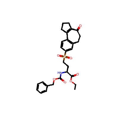 CCOC(=O)C(CCS(=O)(=O)c1ccc2c(c1)CCC(=O)C1=C2CCC1)NC(=O)OCc1ccccc1